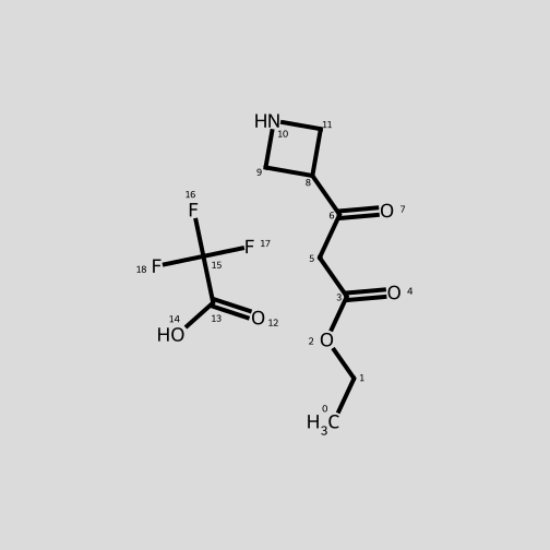 CCOC(=O)CC(=O)C1CNC1.O=C(O)C(F)(F)F